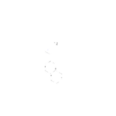 NC/C(=C/F)c1ccc2ccccc2c1